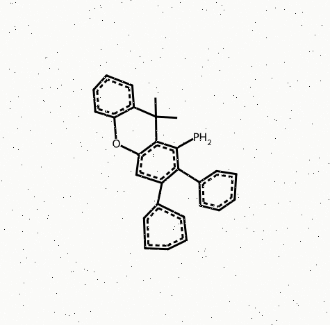 CC1(C)c2ccccc2Oc2cc(-c3ccccc3)c(-c3ccccc3)c(P)c21